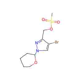 CS(=O)(=O)OCc1nn(C2CCCCO2)cc1Br